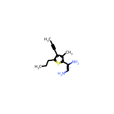 CC#Cc1c(CCC)sc(/C(N)=C\N)c1C